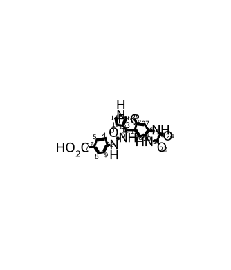 O=C(Nc1ccc(C(=O)O)cc1)NC(c1cc[nH]c1)c1cc2[nH]c(=O)c(=O)[nH]c2cc1C(F)(F)F